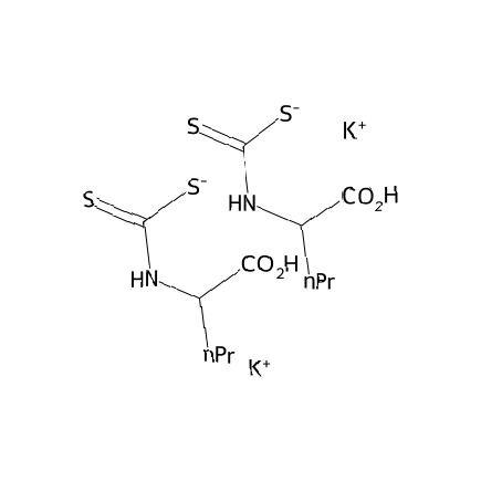 CCCC(NC(=S)[S-])C(=O)O.CCCC(NC(=S)[S-])C(=O)O.[K+].[K+]